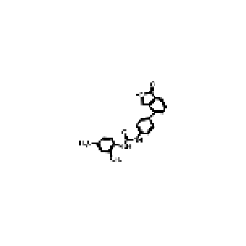 Cc1ccc(NC(=O)Nc2ccc(-c3cccc4c3CNC4=O)cc2)c(C)c1